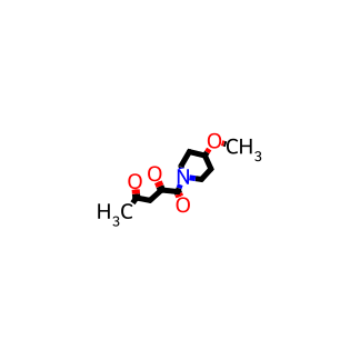 COC1CCN(C(=O)C(=O)CC(C)=O)CC1